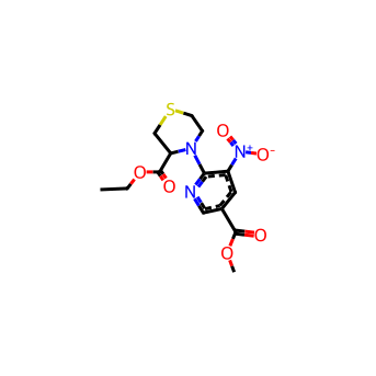 CCOC(=O)C1CSCCN1c1ncc(C(=O)OC)cc1[N+](=O)[O-]